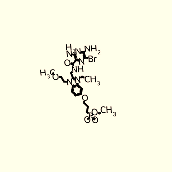 CCOP(=O)([O-])CCCOc1ccc2c(c1)n(CC)c(CNC(=O)c1nc(Br)c(N)nc1N)[n+]2CCOC